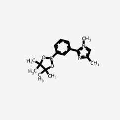 Cc1cn(C)c(-c2cccc(B3OC(C)(C)C(C)(C)O3)c2)n1